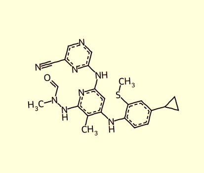 CSc1cc(C2CC2)ccc1Nc1cc(Nc2cncc(C#N)n2)nc(NN(C)C=O)c1C